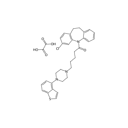 O=C(CCCCN1CCN(c2cccc3sccc23)CC1)N1c2ccccc2CCc2ccc(Cl)cc21.O=C(O)C(=O)O